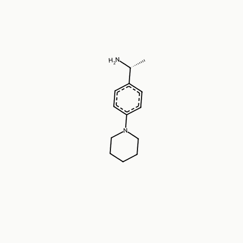 C[C@@H](N)c1ccc(N2CCCCC2)cc1